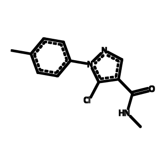 CNC(=O)c1cnn(-c2ccc(C)cc2)c1Cl